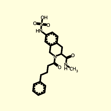 CNC(=O)C1Cc2ccc(NS(=O)(=O)O)cc2CN1C(=O)CCCc1ccccc1